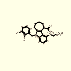 NC(=O)C1CCCCc2c1c1c(OCC(=O)O)cccc1n2Cc1cccc(F)c1F